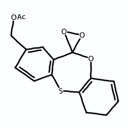 CC(=O)OCc1ccc2c(c1)C1(OO1)OC1=C(CCC=C1)S2